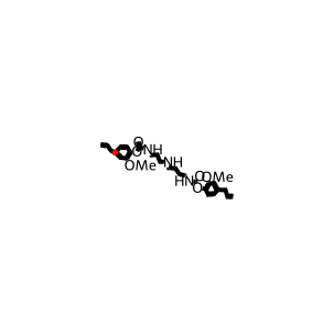 C=CCc1ccc(OC(=O)NCCCCNCCCNC(=O)Oc2ccc(CC=C)cc2OC)c(OC)c1